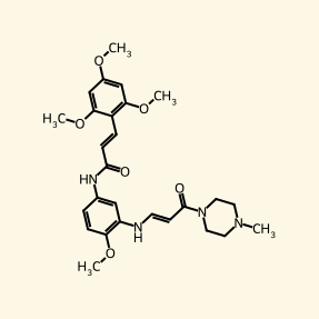 COc1cc(OC)c(C=CC(=O)Nc2ccc(OC)c(NC=CC(=O)N3CCN(C)CC3)c2)c(OC)c1